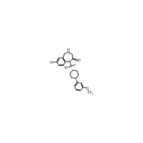 CCC(C)([C@H]1CC[C@H](c2cccc(OC(F)(F)F)c2)CC1)N1C(=N)CNCc2cc(Cl)ccc21